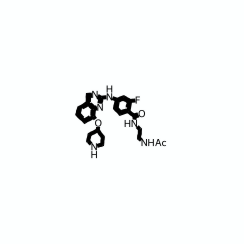 CC(=O)NCCNC(=O)c1ccc(Nc2ncc3cccc(OC4CCNCC4)c3n2)cc1F